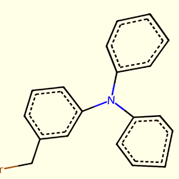 BrCc1cccc(N(c2ccccc2)c2ccccc2)c1